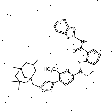 CC1CC2(C)CC(C)(C)CC(Cn3cc(-c4ccc(N5CCc6cccc(C(=O)Nc7nc8ccccc8s7)c6C5)nc4C(=O)O)cn3)(C1)C2